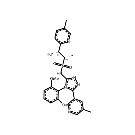 COc1cccc(OC)c1-n1c(NS(=O)(=O)[C@@H](C)[C@H](O)c2ncc(C)cn2)nnc1-c1cncc(C)c1